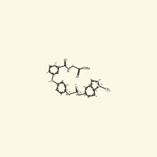 COC(=O)CNC(=O)c1cc(Oc2ccc(NC(=O)Nc3ccc4c(cnn4C)c3)cc2)ccn1